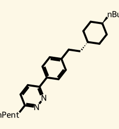 CCCCCc1ccc(-c2ccc(CC[C@H]3CC[C@H](CCCC)CC3)cc2)nn1